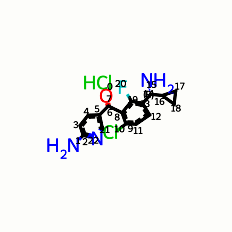 Cl.Nc1ccc(C(=O)c2c(Cl)ccc([C@H](N)C3CC3)c2F)cn1